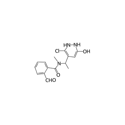 CC(C1=C(Cl)NNC(O)=C1)N(C)C(=O)c1ccccc1C=O